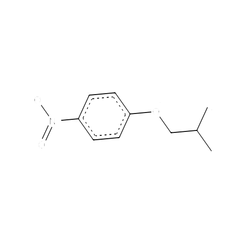 CC(C)COc1ccc([N+](=O)[O-])cc1